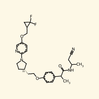 CC(CC#N)NC(=O)C(C)c1ccc(OCC[C@@H]2CCN(c3ccc(OCC4CC4(F)F)cn3)C2)cc1